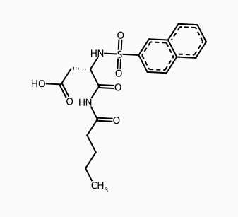 CCCCC(=O)NC(=O)[C@H](CC(=O)O)NS(=O)(=O)c1ccc2ccccc2c1